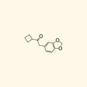 O=C(Cc1ccc2c(c1)OCO2)C1CCC1